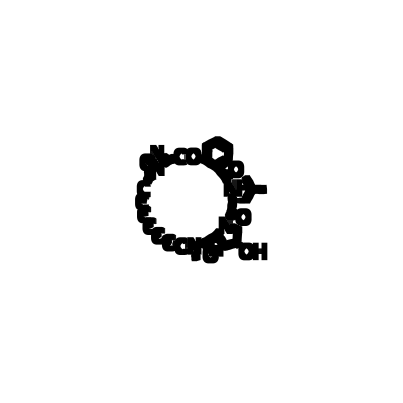 CC(C)C[C@H]1NC(=O)c2ccccc2OCc2noc(n2)CCCCCCCN(C)C(=O)[C@H]2C[C@H](O)CN2C1=O